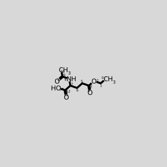 CCOC(=O)CCC(NC(C)=O)C(=O)O